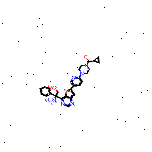 NC(CO)(c1ccccc1)c1ncnc2cc(-c3ccc(N4CCN(C(=O)C5CC5)CC4)nc3)sc12